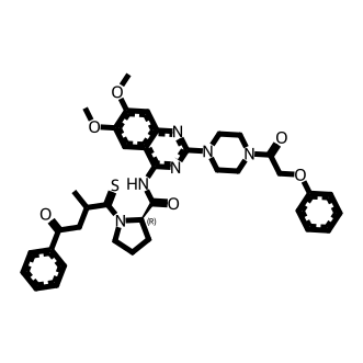 COc1cc2nc(N3CCN(C(=O)COc4ccccc4)CC3)nc(NC(=O)[C@H]3CCCN3C(=S)C(C)CC(=O)c3ccccc3)c2cc1OC